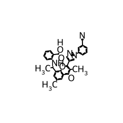 Cc1cc(C(C)Nc2ccccc2C(=O)O)c2oc(-c3cnn(-c4cccc(C#N)c4)c3)c(C)c(=O)c2c1